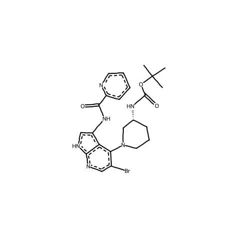 CC(C)(C)OC(=O)N[C@@H]1CCCN(c2c(Br)cnc3[nH]cc(NC(=O)c4ccccn4)c23)C1